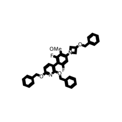 COc1c(N2CC(OCc3ccccc3)C2)cc(F)c(-c2ccc(OCc3ccccc3)nc2OCc2ccccc2)c1F